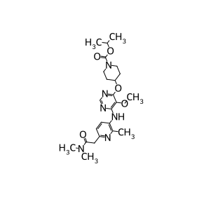 COc1c(Nc2ccc(CC(=O)N(C)C)nc2C)ncnc1OC1CCN(C(=O)OC(C)C)CC1